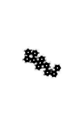 c1ccc(-c2cccc3c2oc2c(-c4cccc(-c5c6ccccc6c(-c6ccc7c(c6)-c6ccccc6-c6ccccc6-c6ccccc6-7)c6ccccc56)c4)cccc23)cc1